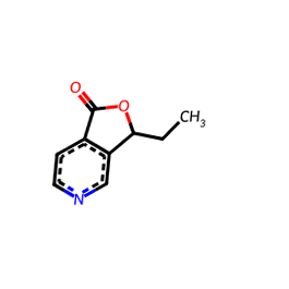 CCC1OC(=O)c2ccncc21